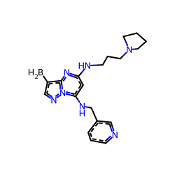 Bc1cnn2c(NCc3cccnc3)cc(NCCCN3CCCC3)nc12